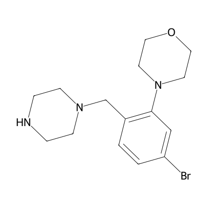 Brc1ccc(CN2CCNCC2)c(N2CCOCC2)c1